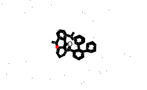 CC(C)c1cccc(C(C)C)c1-c1oc(-c2cccc(-c3ccccc3)c2-c2c#cccc2)c2c1C=CCC2